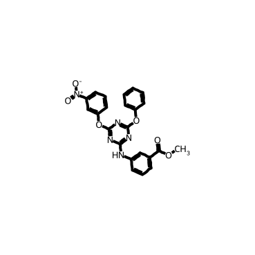 COC(=O)c1cccc(Nc2nc(Oc3ccccc3)nc(Oc3cccc([N+](=O)[O-])c3)n2)c1